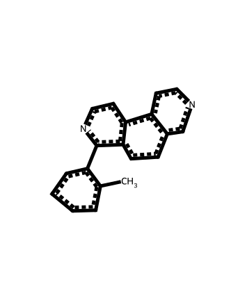 Cc1ccccc1-c1nccc2c1ccc1cnccc12